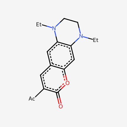 CCN1CCN(CC)c2cc3oc(=O)c(C(C)=O)cc3cc21